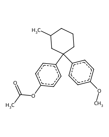 COc1ccc(C2(c3ccc(OC(C)=O)cc3)CCCC(C)C2)cc1